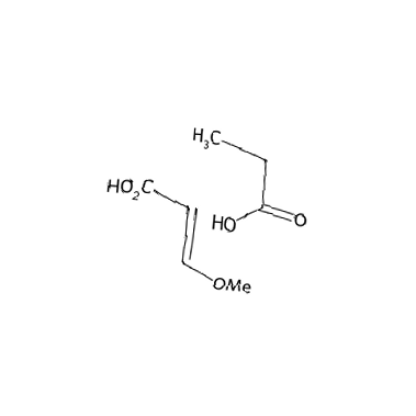 CCC(=O)O.COC=CC(=O)O